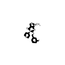 Cn1ncc2c(=O)n(-c3ccncc3)c(SCc3cccc(F)c3)nc21